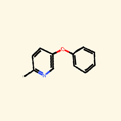 [CH]c1ccc(Oc2ccccc2)cn1